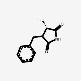 O=C1NC(=O)[C@@H](O)C1Cc1ccccc1